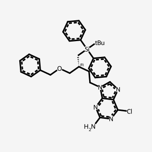 CC(C)(C)[Si](C[C@H](CCn1cnc2c(Cl)nc(N)nc21)COCc1ccccc1)(c1ccccc1)c1ccccc1